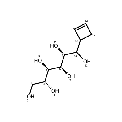 OC[C@@H](O)[C@@H](O)[C@H](O)[C@@H](O)C(O)C1C=CC1